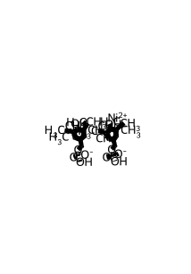 CC(C)(C)c1cc(COP(=O)([O-])O)cc(C(C)(C)C)c1O.CC(C)(C)c1cc(COP(=O)([O-])O)cc(C(C)(C)C)c1O.[Ni+2]